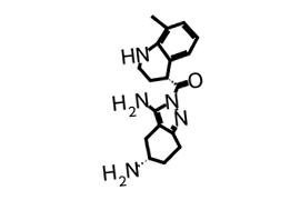 Cc1cccc2c1NCC[C@H]2C(=O)n1nc2c(c1N)C[C@@H](N)CC2